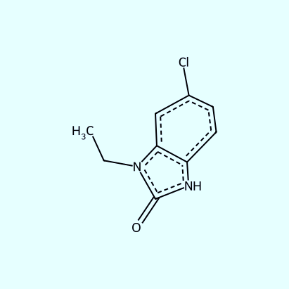 CCn1c(=O)[nH]c2ccc(Cl)cc21